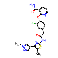 Cc1sc(NC(=O)Cc2ccc(Oc3ncccc3C(N)=O)c(Cl)c2)nc1-c1cnn(C)c1